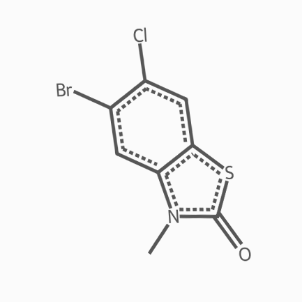 Cn1c(=O)sc2cc(Cl)c(Br)cc21